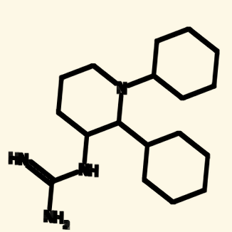 N=C(N)NC1CCCN(C2CCCCC2)C1C1CCCCC1